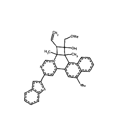 C=CC1C(O)(COC)C2(C)c3c(cc(C(C)(C)C)c4ccccc34)-c3cc(-c4cc5ccccc5s4)nc[n+]3C12C